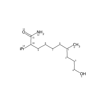 CC(CCCO)CCCCC(C(N)=O)C(C)C